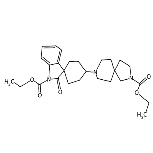 CCOC(=O)N1CCC2(CCN(C3CCC4(CC3)C(=O)N(C(=O)OCC)c3ccccc34)CC2)C1